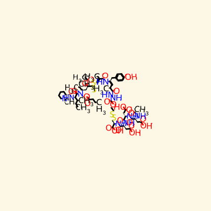 CCCC(=O)OCN(C(=O)[C@@H](NC(=O)[C@H]1CCCCN1C)C(C)CC)[C@H](C[C@@H](OC(C)=O)C(=S)S/C=C(\C)C(=O)N[C@@H](Cc1ccc(O)cc1)C[C@H](C)C(=O)NNC(=O)OCCSSC[C@@H](NC(=O)[C@H](CC(=O)O)NC(=O)[C@H](CC(=O)O)NC(=O)[C@H](CC(=O)O)NC(C)=O)C(=O)O)C(C)C